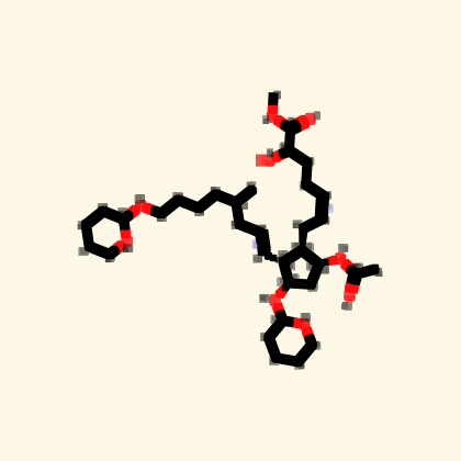 COC(=O)C(O)CC/C=C\C[C@@H]1[C@@H](/C=C/CC(C)CCCCOC2CCCCO2)[C@H](OC2CCCCO2)C[C@@H]1OC(C)=O